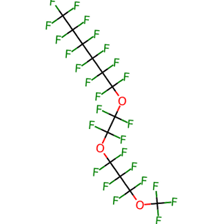 FC(F)(F)OC(F)(F)C(F)(F)C(F)(F)OC(F)(F)C(F)(F)OC(F)(F)C(F)(F)C(F)(F)C(F)(F)C(F)(F)C(F)(F)F